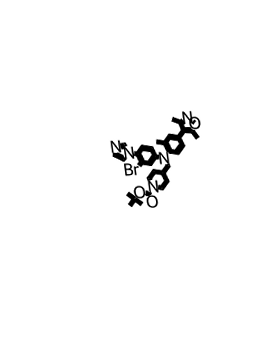 Cc1cc(-c2c(C)noc2C)ccc1N(CC1CCN(C(=O)OC(C)(C)C)CC1)c1ccc(-n2ccnc2)c(Br)c1